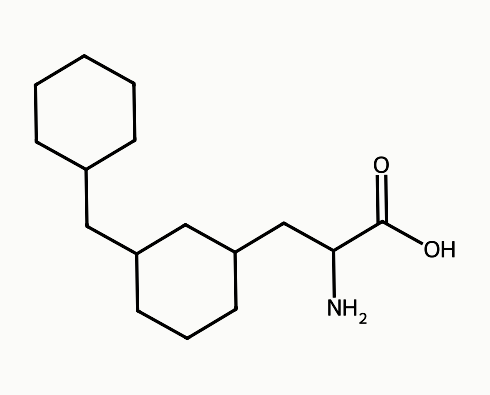 NC(CC1CCCC(CC2CCCCC2)C1)C(=O)O